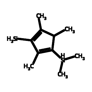 CC1=C([SiH](C)C)C(C)C(C)=C1[SiH3]